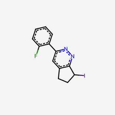 Fc1ccccc1-c1cc2c(nn1)C(I)CC2